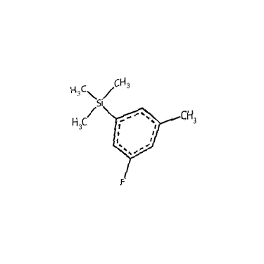 Cc1cc(F)cc([Si](C)(C)C)c1